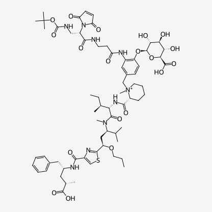 CCCO[C@H](C[C@H](C(C)C)N(C)C(=O)[C@@H](NC(=O)[C@H]1CCCC[N+]1(C)Cc1ccc(O[C@@H]2O[C@H](C(=O)O)[C@@H](O)[C@H](O)[C@H]2O)c(NC(=O)CCNC(=O)[C@H](CNC(=O)OC(C)(C)C)N2C(=O)C=CC2=O)c1)[C@@H](C)CC)c1nc(C(=O)N[C@@H](Cc2ccccc2)C[C@H](C)C(=O)O)cs1